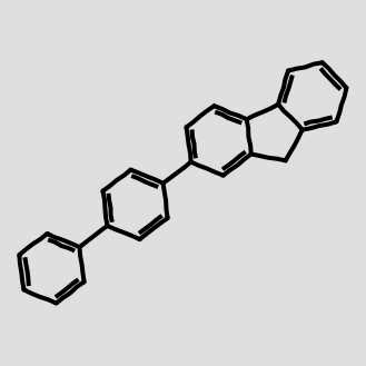 c1ccc(-c2ccc(-c3ccc4c(c3)Cc3ccccc3-4)cc2)cc1